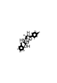 Cc1ccc(C(=O)N[C@@H](C)C(=O)N[C@@H](Cc2ccccc2)C(=O)O)cc1